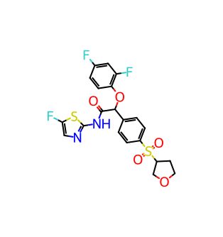 O=C(Nc1ncc(F)s1)C(Oc1ccc(F)cc1F)c1ccc(S(=O)(=O)C2CCOC2)cc1